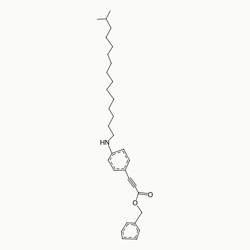 CC(C)CCCCCCCCCCCCCNc1ccc(C#CC(=O)OCc2ccccc2)cc1